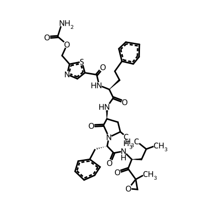 CC(C)C[C@H](NC(=O)[C@H](Cc1ccccc1)N1C(=O)[C@@H](NC(=O)[C@H](CCc2ccccc2)NC(=O)c2cnc(COC(N)=O)s2)CC1C)C(=O)C1(C)CO1